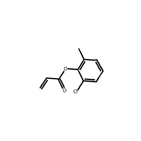 C=CC(=O)Oc1c(C)cccc1Cl